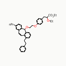 CCCc1ccc2c(c1)C=Cc1c(CCc3ccccc3)cccc1C2OCCOc1ccc(CC(OCC)C(=O)OCC)cc1